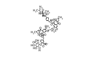 C=C1C[C@H]2[C@H](O)N(C(=O)OCc3ccc(NC(=O)[C@H](C)NC(=O)[C@@H](N)C(C)C)cc3)c3cc(OCCCOc4cc5c(cc4OC)C(=O)N4CC(=C)C[C@H]4[C@H](O)N5C(=O)OCc4ccc(O[C@@H]5O[C@H](C(=O)O)[C@@H](O)[C@H](O)[C@H]5O)c([N+](=O)[O-])c4)c(OC)cc3C(=O)N2C1